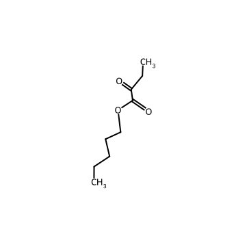 CCCCCOC(=O)C(=O)CC